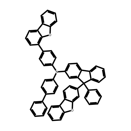 c1ccc(-c2ccc(N(c3ccc(-c4cccc5c4oc4ccccc45)cc3)c3ccc4c(c3)C(c3ccccc3)(c3ccc5c(c3)oc3ccccc35)c3ccccc3-4)cc2)cc1